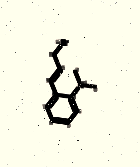 CN(C)c1ccccc1/C=C/CBr